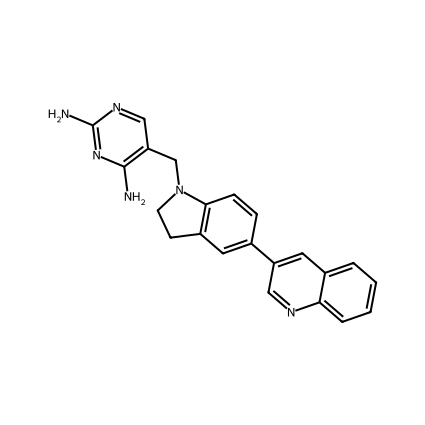 Nc1ncc(CN2CCc3cc(-c4cnc5ccccc5c4)ccc32)c(N)n1